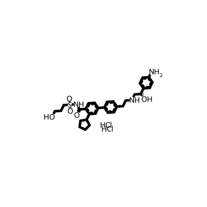 Cl.Cl.Nc1ccc([C@@H](O)CNCCc2ccc(-c3ccc(C(=O)NS(=O)(=O)CCCO)c(C4CCCC4)c3)cc2)cc1